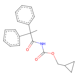 CC(C(=O)NC(=O)OCC1CC1)(c1ccccc1)c1ccccc1